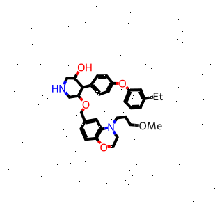 CCc1cccc(Oc2ccc(C3C(O)CNCC3OCc3ccc4c(c3)N(CCCOC)CCO4)cc2)c1